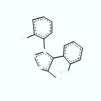 COc1ccccc1-c1c(S)nnn1-c1ccccc1O